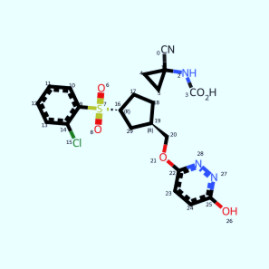 N#CC1(NC(=O)O)CC1.O=S(=O)(c1ccccc1Cl)[C@@H]1CC[C@@H](COc2ccc(O)nn2)C1